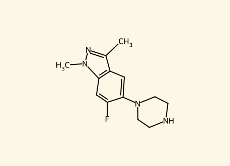 Cc1nn(C)c2cc(F)c(N3CCNCC3)cc12